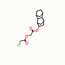 O=C(CCl)OCC(=O)OC1CC2CC1C1C3CCC(C3)C21